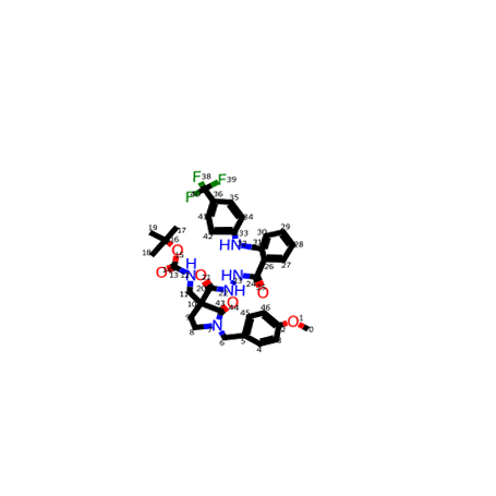 COc1ccc(CN2CCC(CNC(=O)OC(C)(C)C)(C(=O)NNC(=O)c3ccccc3Nc3ccc(C(F)(F)F)cc3)C2=O)cc1